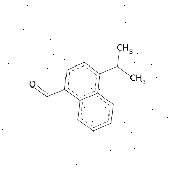 CC(C)c1ccc(C=O)c2ccccc12